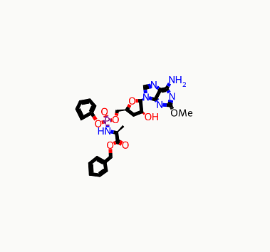 COc1nc(N)c2ncn([C@@H]3O[C@H](COP(=O)(N[C@@H](C)C(=O)OCc4ccccc4)Oc4ccccc4)C[C@@H]3O)c2n1